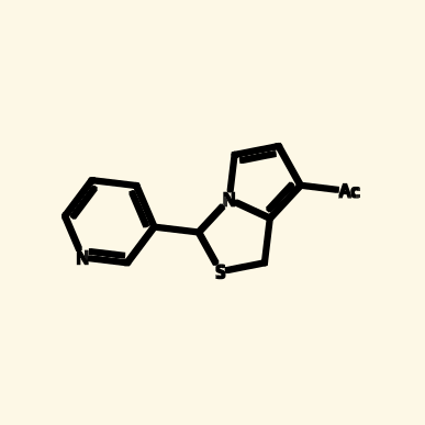 CC(=O)c1ccn2c1CSC2c1cccnc1